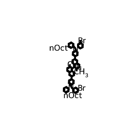 CCCCCCCCc1cccc(N(c2ccc(-c3ccc4c(-c5c(C)ccc6cc(-c7ccc(N(c8cccc(Br)c8)c8cccc(CCCCCCCC)c8)cc7)ccc56)c(C)ccc4c3)cc2)c2cccc(Br)c2)c1